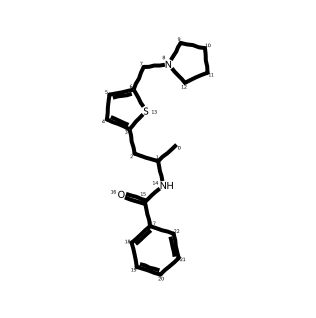 CC(Cc1ccc(CN2CCCC2)s1)NC(=O)c1ccccc1